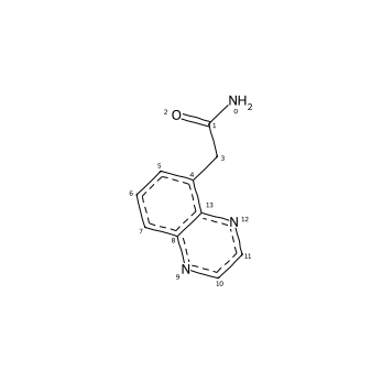 NC(=O)Cc1cccc2nccnc12